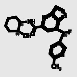 Cc1ccc([C@H](F)c2cc(C(=O)N[C@H]3CCCC[C@@H]3O)nc3ccsc23)cn1